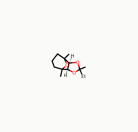 CCC1(C)O[C@@H]2[C@H](O1)C1(C)CCCC2(C)O1